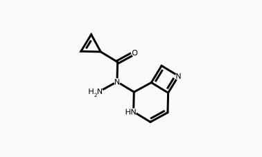 NN(C(=O)C1C=C1)C1NC=CC2=NC=C21